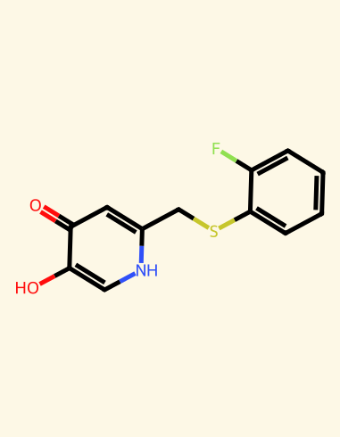 O=c1cc(CSc2ccccc2F)[nH]cc1O